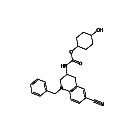 N#Cc1ccc2c(c1)CC(NC(=O)OC1CCC(O)CC1)CN2Cc1ccccc1